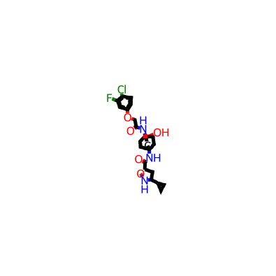 O=C(COc1ccc(Cl)c(F)c1)NC12CCC(NC(=O)C3CC(C4CC4)NO3)(CC1)CC2O